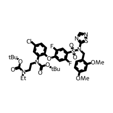 CCN(CCN(C(=O)OC(C)(C)C)c1cc(Cl)ccc1Oc1cc(F)c(S(=O)(=O)N(Cc2ccc(OC)cc2OC)c2ncns2)cc1F)C(=O)OC(C)(C)C